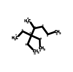 CCC[C](C)C(CC)(CC)CC